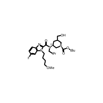 COCCCCn1c(C(=O)N(CC(C)C)[C@H]2CC(CO)CN(C(=O)OC(C)(C)C)C2)nc2ccc(F)cc21